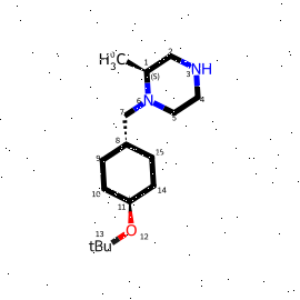 C[C@H]1CNCCN1C[C@H]1CC[C@H](OC(C)(C)C)CC1